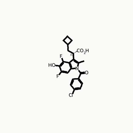 Cc1c([C@H](CC2CCC2)C(=O)O)c2c(F)c(O)c(F)cc2n1C(=O)c1ccc(Cl)cc1